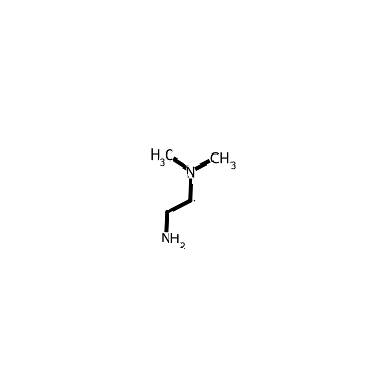 CN(C)[CH]CN